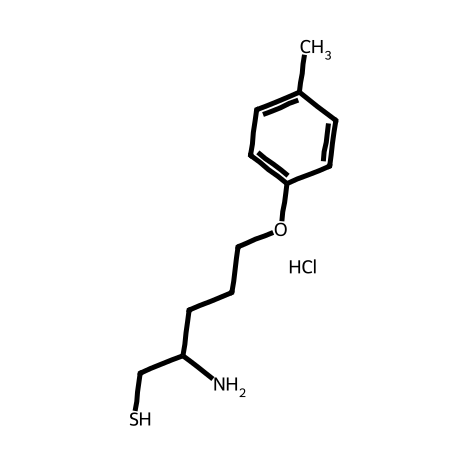 Cc1ccc(OCCCC(N)CS)cc1.Cl